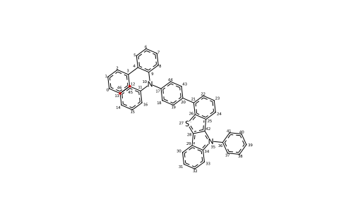 c1ccc(-c2ccccc2N(c2ccccc2)c2ccc(-c3cccc4c3sc3c5ccccc5n(-c5ccccc5)c43)cc2)cc1